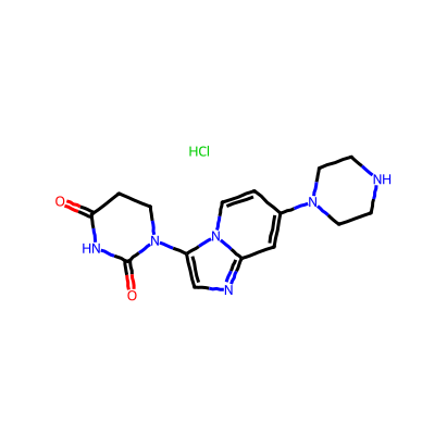 Cl.O=C1CCN(c2cnc3cc(N4CCNCC4)ccn23)C(=O)N1